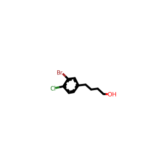 OCCCCc1ccc(Cl)c(Br)c1